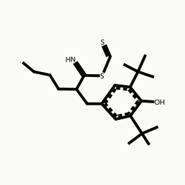 [CH2]CCCC(Cc1cc(C(C)(C)C)c(O)c(C(C)(C)C)c1)C(=N)SC=S